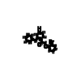 O=C(COc1ccccc1Br)N1CCNCC1Cc1ccccc1